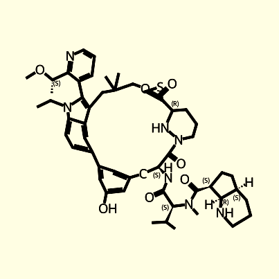 CCn1c(-c2cccnc2[C@H](C)OC)c2c3cc(ccc31)-c1cc(O)cc(c1)C[C@H](NC(=O)[C@H](C(C)C)N(C)C(=O)[C@H]1CC[C@H]3CCCN[C@H]31)C(=O)N1CCC[C@@](C3=CS3)(N1)C(=O)OCC(C)(C)C2